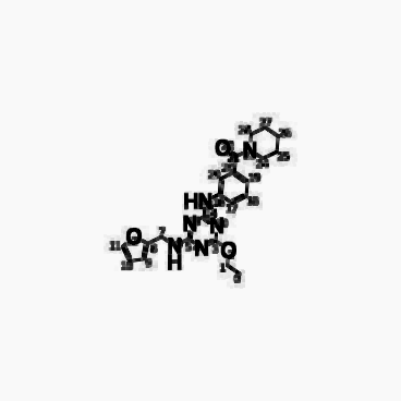 CCOc1nc(NCc2ccco2)nc(Nc2cccc(C(=O)N3CCCCC3)c2)n1